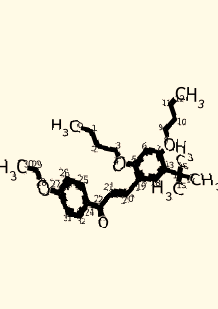 CCCCOc1cc(OCCCC)c(C(C)(C)C)cc1C=CC(=O)c1ccc(OCC)cc1